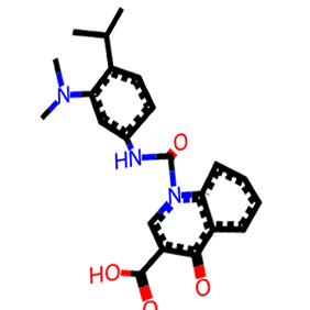 CC(C)c1ccc(NC(=O)n2cc(C(=O)O)c(=O)c3ccccc32)cc1N(C)C